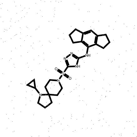 O=S(=O)(c1nnc(Nc2c3c(cc4c2CCC4)CCC3)[nH]1)N1CCC2(CCCN2C2CC2)CC1